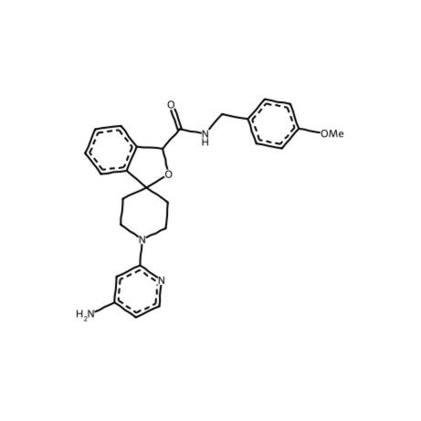 COc1ccc(CNC(=O)C2OC3(CCN(c4cc(N)ccn4)CC3)c3ccccc32)cc1